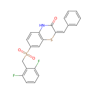 O=C1Nc2ccc(S(=O)(=O)Cc3c(F)cccc3F)cc2S/C1=C/c1ccccc1